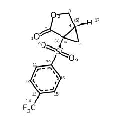 O=C1OC[C@@H]2C[C@]12S(=O)(=O)c1ccc(C(F)(F)F)cc1